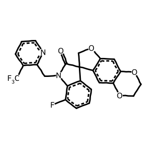 O=C1N(Cc2ncccc2C(F)(F)F)c2c(F)cccc2C12COc1cc3c(cc12)OCCO3